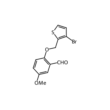 COc1ccc(OCc2sccc2Br)c(C=O)c1